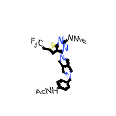 CNc1nc(N2CC3CN(Cc4ccc(NC(C)=O)cc4)CC3C2)c2cc(CC(F)(F)F)sc2n1